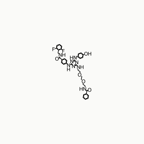 O=C(NCCOCCOCCNc1nc(Nc2ccc(O)cc2)nc(Nc2ccc(C(=O)NCc3c(F)cccc3F)cc2)n1)c1ccccc1